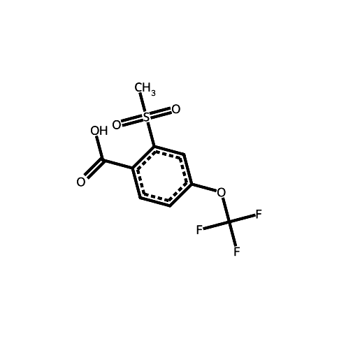 CS(=O)(=O)c1cc(OC(F)(F)F)ccc1C(=O)O